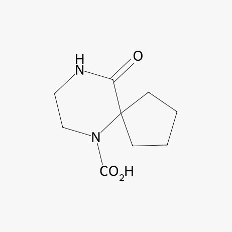 O=C(O)N1CCNC(=O)C12CCCC2